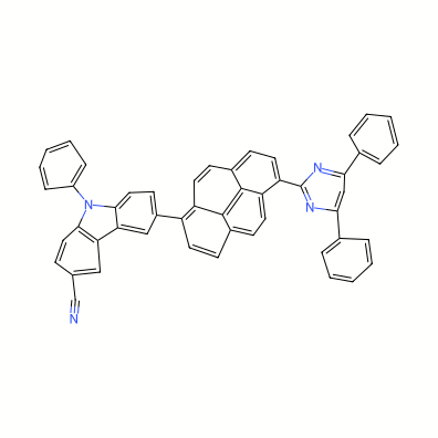 N#Cc1ccc2c(c1)c1cc(-c3ccc4ccc5c(-c6nc(-c7ccccc7)cc(-c7ccccc7)n6)ccc6ccc3c4c65)ccc1n2-c1ccccc1